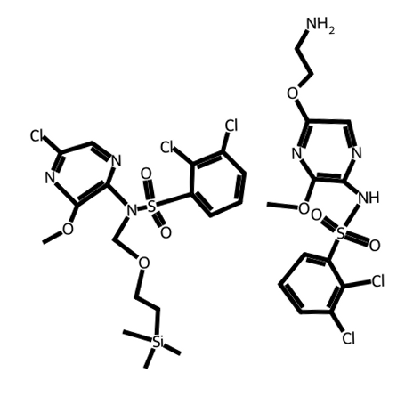 COc1nc(Cl)cnc1N(COCC[Si](C)(C)C)S(=O)(=O)c1cccc(Cl)c1Cl.COc1nc(OCCN)cnc1NS(=O)(=O)c1cccc(Cl)c1Cl